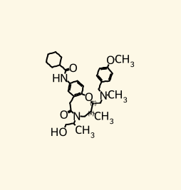 COc1ccc(CN(C)C[C@@H]2Oc3ccc(NC(=O)C4CCCCC4)cc3CC(=O)N(C(C)CO)C[C@H]2C)cc1